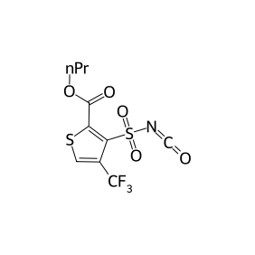 CCCOC(=O)c1scc(C(F)(F)F)c1S(=O)(=O)N=C=O